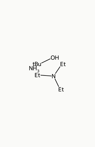 CC(C)(C)O.CCN(CC)CC.N